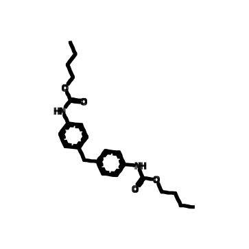 CCCCOC(=O)Nc1ccc(Cc2ccc(NC(=O)OCCCC)cc2)cc1